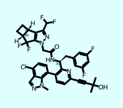 Cn1ncc2c(Cl)ccc(-c3ccc(C#CC(C)(C)O)nc3[C@H](Cc3cc(F)cc(F)c3)NC(=O)Cn3nc(C(F)F)c4c3C(F)(F)[C@@H]3CC[C@H]43)c21